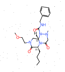 CCCC[C@H]1C(=O)N(CCOC)C[C@H]2N1C(=O)CN(C)N2C(=O)NCc1ccccc1